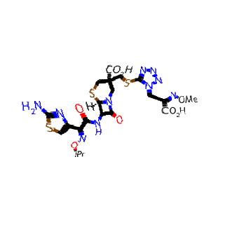 CON=C(Cn1nnnc1SCC1(C(=O)O)CS[C@@H]2C(NC(=O)C(=NOC(C)C)c3csc(N)n3)C(=O)N2C1)C(=O)O